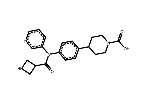 O=C(O)N1CCC(c2ccc(N(C(=O)C3CNC3)c3cccnc3)cc2)CC1